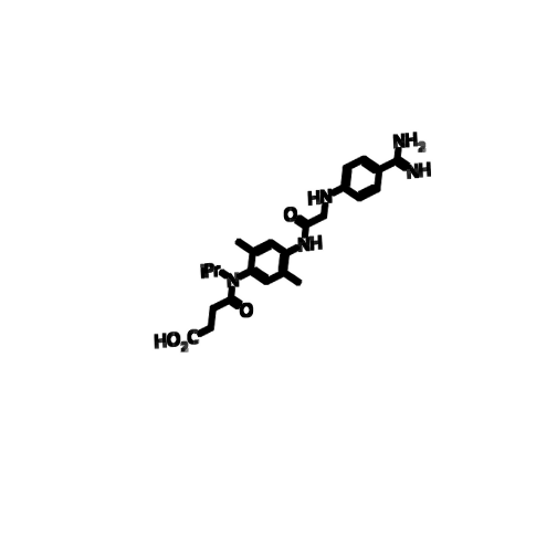 Cc1cc(N(C(=O)CCC(=O)O)C(C)C)c(C)cc1NC(=O)CNc1ccc(C(=N)N)cc1